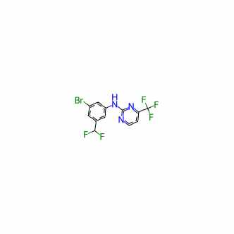 FC(F)c1cc(Br)cc(Nc2nccc(C(F)(F)F)n2)c1